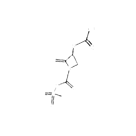 O=C(O)NC1CN(C(=O)NS(=O)(=O)Cl)C1=O